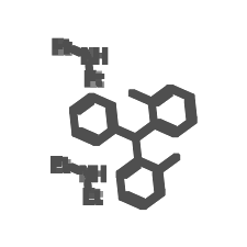 CCNCC.CCNCC.Cc1ccccc1C(c1ccccc1)c1ccccc1C